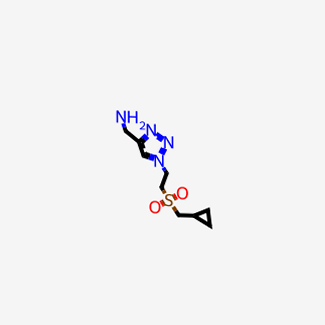 NCc1cn(CCS(=O)(=O)CC2CC2)nn1